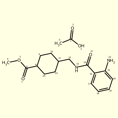 CC(=O)O.COC(=O)C1CCC(CNC(=O)c2ccccc2N)CC1